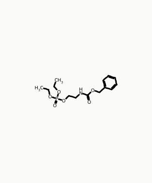 CCOP(=O)(OCC)OCCNC(=O)OCc1ccccc1